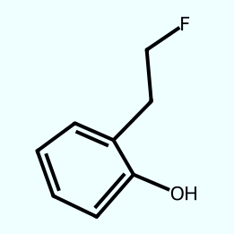 Oc1ccccc1CCF